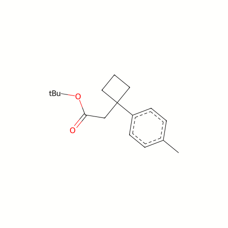 Cc1ccc(C2(CC(=O)OC(C)(C)C)CCC2)cc1